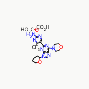 Nc1ncc(-c2nc(N3CCOCC3)c3ncn(C4CCCCO4)c3n2)c(C(F)(F)F)n1.O=C(O)OC(=O)O